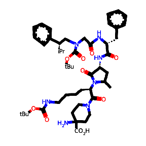 CC(C)[C@@H](CN(CC(=O)N[C@H](Cc1ccccc1)C(=O)N[C@@H]1CC(C)N([C@H](CCCCNC(=O)OC(C)(C)C)C(=O)N2CCC(N)(C(=O)O)CC2)C1=O)C(=O)OC(C)(C)C)c1ccccc1